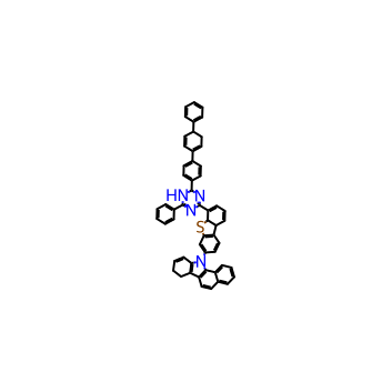 C1=CC2c3ccc(-n4c5c(c6ccc7ccccc7c64)CCC=C5)cc3SC2C(C2=NC(c3ccc(C4=CCC(c5ccccc5)C=C4)cc3)NC(c3ccccc3)=N2)=C1